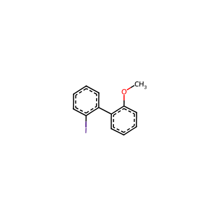 COc1ccccc1-c1ccccc1I